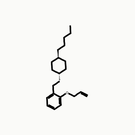 C=CCOc1ccccc1CC[C@H]1CC[C@H](CCCCC)CC1